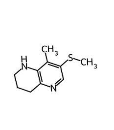 CSc1cnc2c(c1C)NCCC2